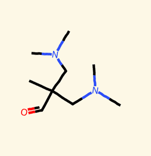 CN(C)CC(C)(C=O)CN(C)C